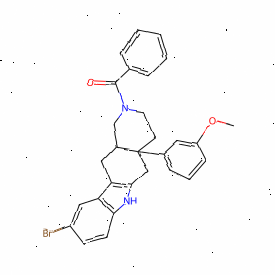 COc1cccc(C23CCN(C(=O)c4ccccc4)CC2Cc2c([nH]c4ccc(Br)cc24)C3)c1